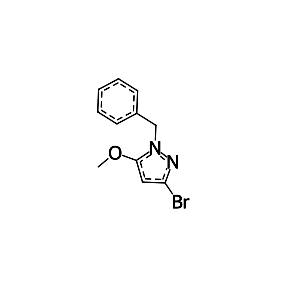 COc1cc(Br)nn1Cc1ccccc1